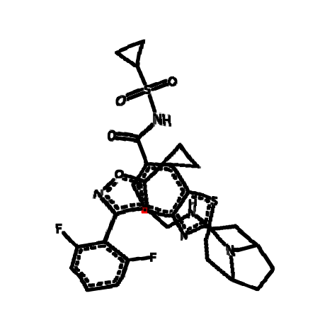 O=C(NS(=O)(=O)C1CC1)c1ccc2nc(N3C4CCC3CC(NCc3c(-c5c(F)cccc5F)noc3C3CC3)C4)sc2c1